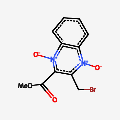 COC(=O)c1c(CBr)[n+]([O-])c2ccccc2[n+]1[O-]